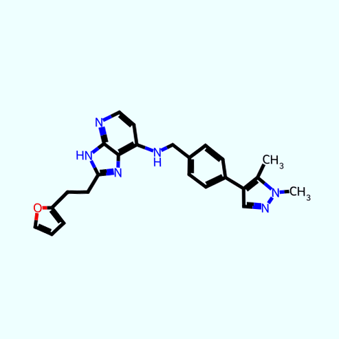 Cc1c(-c2ccc(CNc3ccnc4[nH]c(CCc5ccco5)nc34)cc2)cnn1C